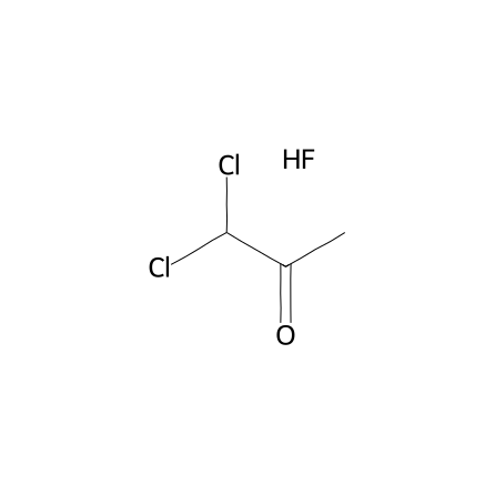 CC(=O)C(Cl)Cl.F